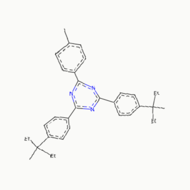 CCC(C)(CC)c1ccc(-c2nc(-c3ccc(C)cc3)nc(-c3ccc(C(C)(CC)CC)cc3)n2)cc1